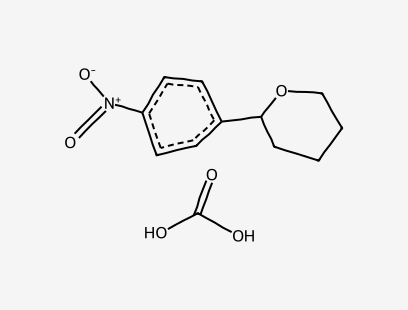 O=C(O)O.O=[N+]([O-])c1ccc(C2CCCCO2)cc1